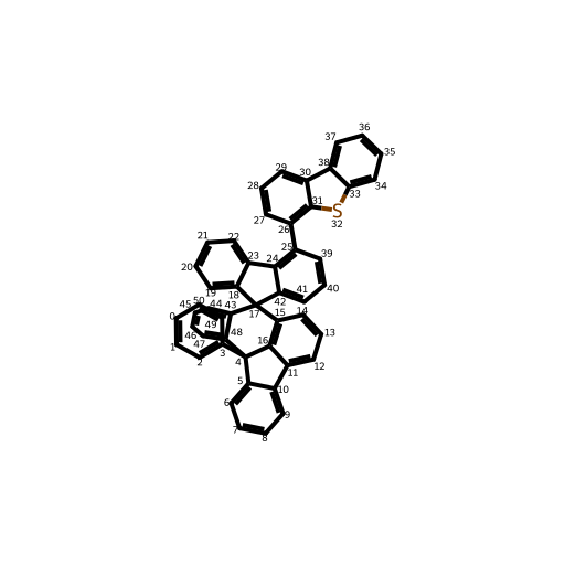 c1ccc(C23c4ccccc4-c4cccc(c42)C2(c4ccccc4-c4c(-c5cccc6c5sc5ccccc56)cccc42)c2ccccc23)cc1